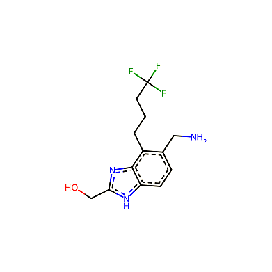 NCc1ccc2[nH]c(CO)nc2c1CCCC(F)(F)F